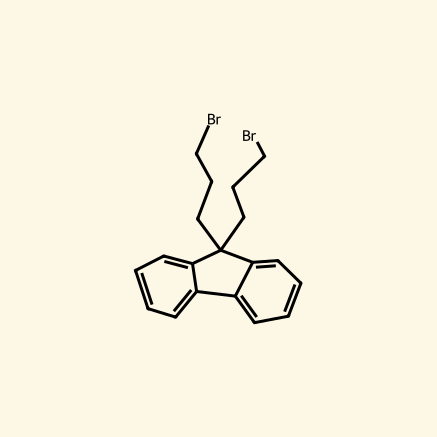 BrCCCC1(CCCBr)c2ccccc2-c2ccccc21